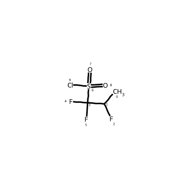 CC(F)C(F)(F)S(=O)(=O)Cl